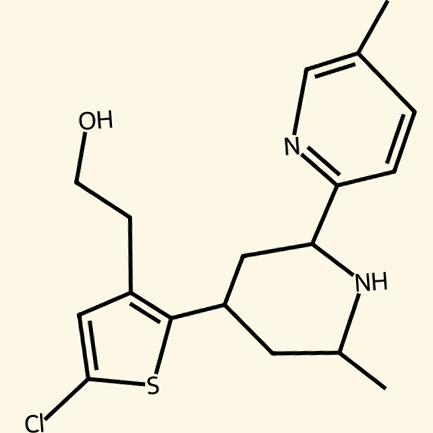 Cc1ccc(C2CC(c3sc(Cl)cc3CCO)CC(C)N2)nc1